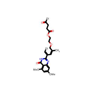 CC/C=C(\C=C(\C)COCCOC(=O)CCC(=O)CC)c1nc2cc(OC)cc(OC)c2c(=O)[nH]1